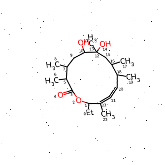 CCC1OC(=O)C(C)C(C)CC(O)C(C)(O)CC(C)C(C)C=C=C1C